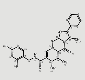 C[C@@H]1[C@H](c2ccccc2)OC2CN3C=C(C(=O)NCc4ccc(F)cc4F)C(O)C(O)=C3C(=O)N21